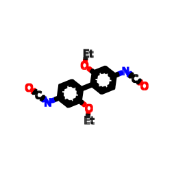 CCOc1cc(N=C=O)ccc1-c1ccc(N=C=O)cc1OCC